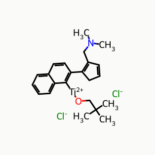 CN(C)CC1=C(c2ccc3ccccc3[c]2[Ti+2][O]CC(C)(C)C)CC=C1.[Cl-].[Cl-]